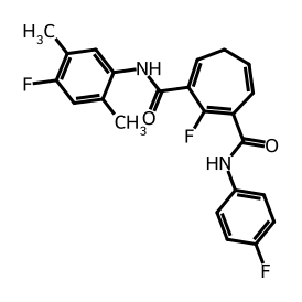 Cc1cc(NC(=O)C2=CCC=CC(C(=O)Nc3ccc(F)cc3)=C2F)c(C)cc1F